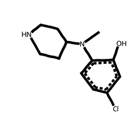 CN(c1ccc(Cl)cc1O)C1CCNCC1